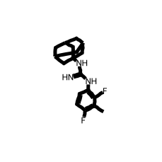 Cc1c(F)ccc(NC(=N)NC23CC4CC(CC(C4)C2)C3)c1F